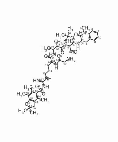 CNC(=O)[C@H](Cc1ccccc1)N[C@@H](OC(C)(C)C)C(C=O)NC(=O)[C@@H](C)C(C)NC(=O)[C@H](CCCNC(=N)NS(=O)(=O)c1c(C)c(C)c2c(c1C)CC(C)(C)O2)NC(=O)CN